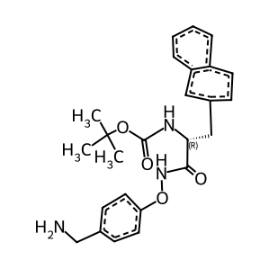 CC(C)(C)OC(=O)N[C@H](Cc1ccc2ccccc2c1)C(=O)NOc1ccc(CN)cc1